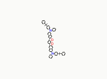 CC(C)(c1ccccc1)c1ccc(N(c2ccccc2)c2ccc3cc4c(cc3c2)oc2c4ccc3c4cc5ccc(N(c6ccccc6)c6ccc(C(C)(C)c7ccccc7)cc6)cc5cc4oc32)cc1